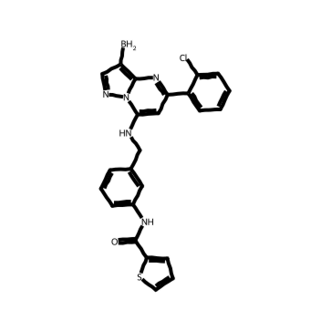 Bc1cnn2c(NCc3cccc(NC(=O)c4cccs4)c3)cc(-c3ccccc3Cl)nc12